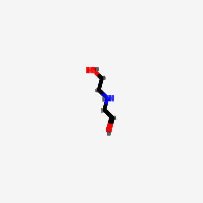 O=[C]CNCCO